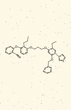 CCCc1c(OCCCOc2cc(OCc3ccccc3)c(-c3ccsc3)cc2CC)cccc1Oc1ccccc1C#N